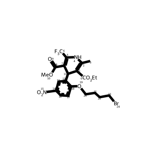 CCOC(=O)C1=C(C)NC(C(F)(F)F)=C(C(=O)OC)C1c1cc([N+](=O)[O-])ccc1OCCCCBr